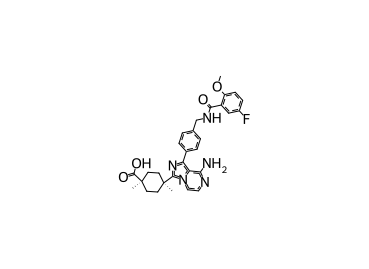 COc1ccc(F)cc1C(=O)NCc1ccc(-c2nc([C@]3(C)CC[C@](C)(C(=O)O)CC3)n3ccnc(N)c23)cc1